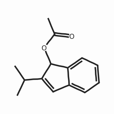 CC(=O)OC1C(C(C)C)=Cc2ccccc21